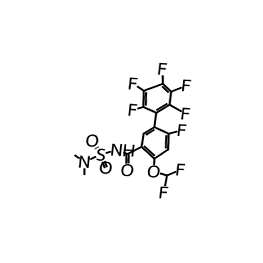 CN(C)S(=O)(=O)NC(=O)c1cc(-c2c(F)c(F)c(F)c(F)c2F)c(F)cc1OC(F)F